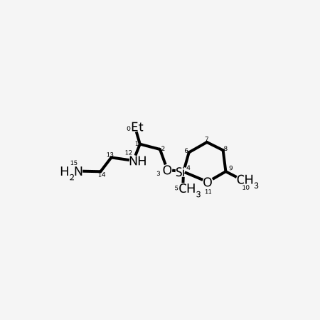 CCC(CO[Si]1(C)CCCC(C)O1)NCCN